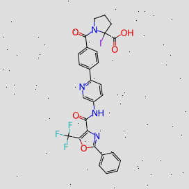 O=C(Nc1ccc(-c2ccc(C(=O)N3CCCC3(I)C(=O)O)cc2)nc1)c1nc(-c2ccccc2)oc1C(F)(F)F